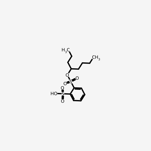 CCCCC(CCC)OS(=O)(=O)c1ccccc1S(=O)(=O)O